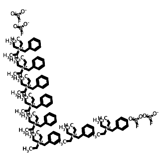 CC[N+](CC)(CC)Cc1ccccc1.CC[N+](CC)(CC)Cc1ccccc1.CC[N+](CC)(CC)Cc1ccccc1.CC[N+](CC)(CC)Cc1ccccc1.CC[N+](CC)(CC)Cc1ccccc1.CC[N+](CC)(CC)Cc1ccccc1.CC[N+](CC)(CC)Cc1ccccc1.CC[N+](CC)(CC)Cc1ccccc1.[O-]B([O-])F.[O-]B([O-])F.[O-]B([O-])F.[O-]B([O-])F